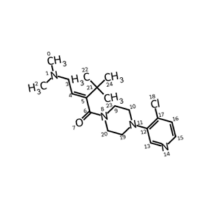 CN(C)C/C=C(/C(=O)N1CCN(c2cnccc2Cl)CC1)C(C)(C)C